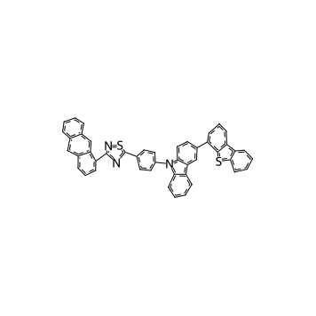 c1ccc2cc3c(-c4nsc(-c5ccc(-n6c7ccccc7c7cc(-c8cccc9c8sc8ccccc89)ccc76)cc5)n4)cccc3cc2c1